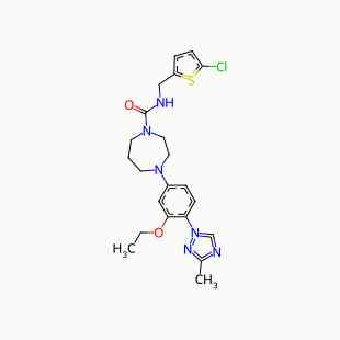 CCOc1cc(N2CCCN(C(=O)NCc3ccc(Cl)s3)CC2)ccc1-n1cnc(C)n1